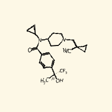 C[C@](O)(c1ccc(C(=O)N(C2CC2)C2CCN(CC3(C#N)CC3)CC2)cc1)C(F)(F)F